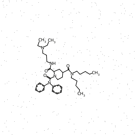 CCCCCN(CCCCC)C(=O)C1CCN(C(=O)N(c2ccccc2)c2ccccc2)C(C(=O)NCCCN(CC)CC)C1